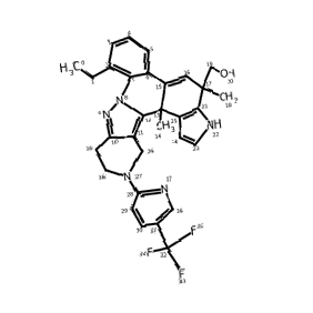 CCc1cccc2c1-n1nc3c(c1C1(C)C2=CC(C)(CO)c2[nH]ccc21)CN(c1ccc(C(F)(F)F)cn1)CC3